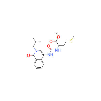 COC(=O)C(CCSC)NC(=O)Nc1cn(CC(C)C)c(=O)c2ccccc12